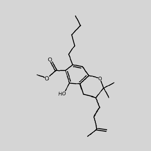 C=C(C)CCC1Cc2c(cc(CCCCC)c(C(=O)OC)c2O)OC1(C)C